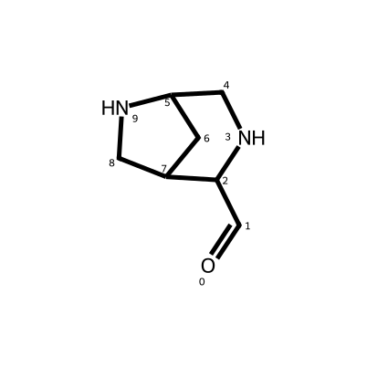 O=CC1NCC2CC1CN2